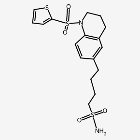 NS(=O)(=O)CCCCc1ccc2c(c1)CCCN2S(=O)(=O)c1cccs1